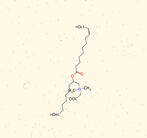 CCCCCCCC/C=C\CCCCCCCC(=O)OC(CCCCCCCCCCCCCCCC)C[N+](C)(C)CC(=O)[O-]